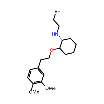 COc1ccc(CCOC2CCCC[C@H]2NCCC(C)=O)cc1OC